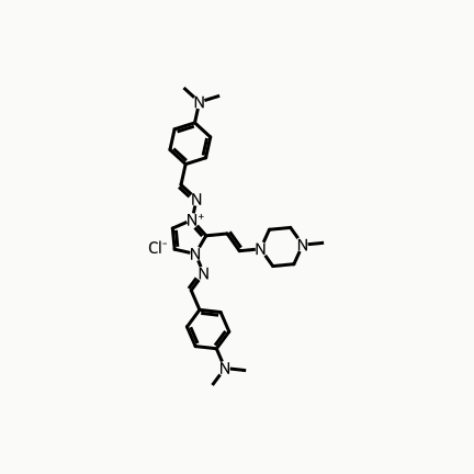 CN1CCN(C=Cc2n(N=Cc3ccc(N(C)C)cc3)cc[n+]2N=Cc2ccc(N(C)C)cc2)CC1.[Cl-]